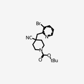 CC(C)(C)OC(=O)N1CCC(C#N)(Cc2ncccc2Br)CC1